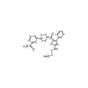 COCCNc1nc(-c2ccccc2)c(C(=O)N2CCN(c3cccc(C(N)=O)c3)CC2)s1